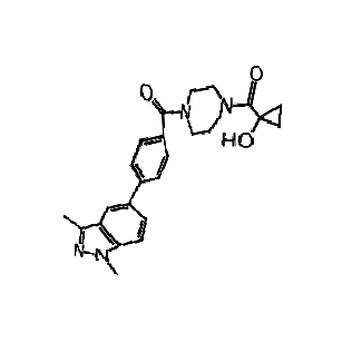 Cc1nn(C)c2ccc(-c3ccc(C(=O)N4CCN(C(=O)C5(O)CC5)CC4)cc3)cc12